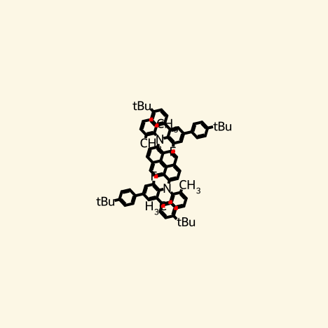 Cc1cccc(C)c1N(c1c(F)cc(-c2ccc(C(C)(C)C)cc2)cc1-c1ccc(C(C)(C)C)cc1)c1ccc2ccc3c(N(c4c(C)cccc4C)c4c(F)cc(-c5ccc(C(C)(C)C)cc5)cc4-c4ccc(C(C)(C)C)cc4)ccc4ccc1c2c43